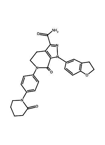 NC(=O)c1nn(-c2ccc3c(c2)CCO3)c2c1CCN(c1ccc(N3CCCCC3=O)cc1)C2=O